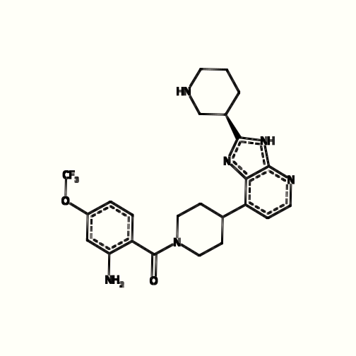 Nc1cc(OC(F)(F)F)ccc1C(=O)N1CCC(c2ccnc3[nH]c([C@@H]4CCCNC4)nc23)CC1